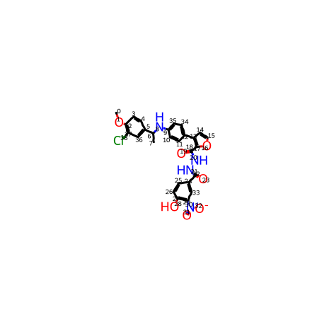 COc1ccc(C(C)Nc2ccc(-c3ccoc3C(=O)NNC(=O)c3ccc(O)c([N+](=O)[O-])c3)cc2)cc1Cl